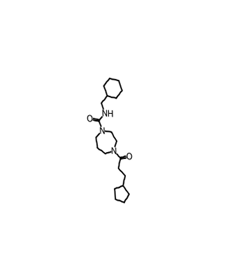 O=C(CCC1CCCC1)N1CCCN(C(=O)NCC2CCCCC2)CC1